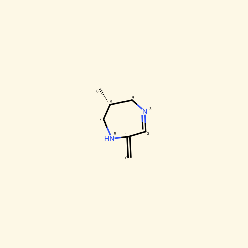 C=C1C=NC[C@@H](C)CN1